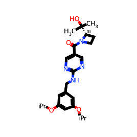 CC(C)Oc1cc(CNc2ncc(C(=O)N3CC[C@H]3C(C)(C)O)cn2)cc(OC(C)C)c1